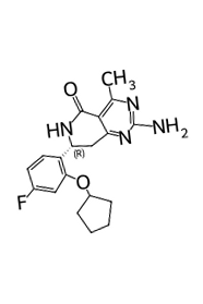 Cc1nc(N)nc2c1C(=O)N[C@@H](c1ccc(F)cc1OC1CCCC1)C2